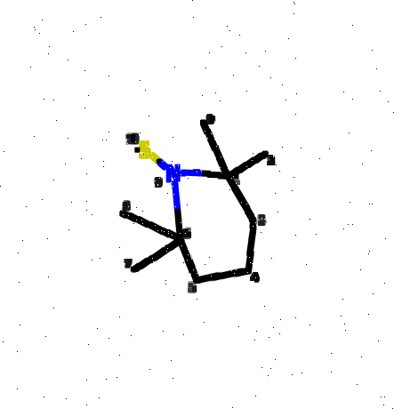 CC1(C)CCCC(C)(C)N1[S]